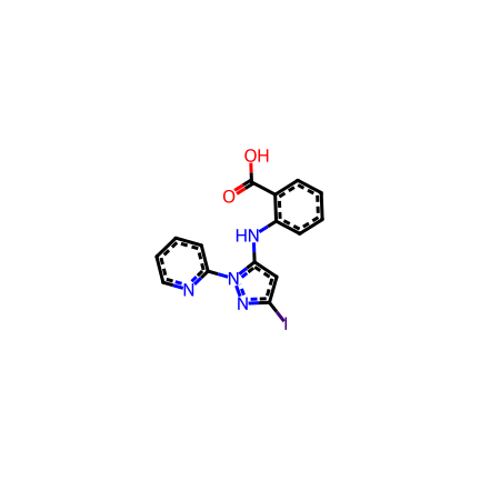 O=C(O)c1ccccc1Nc1cc(I)nn1-c1ccccn1